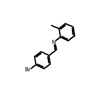 Cc1ccccc1/N=C/c1ccc(Br)cc1